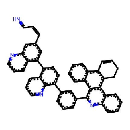 N=C/C=C\c1cc(-c2ccc(-c3cccc(-c4nc5ccccc5c5c6c(c7ccccc7c45)C=CCC6)c3)c3ncccc23)c2cccnc2c1